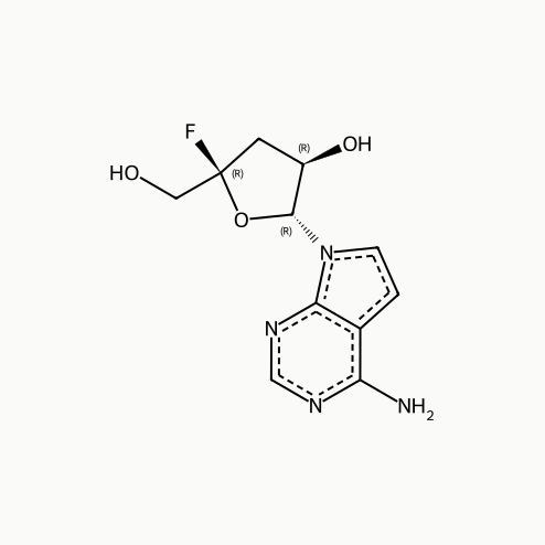 Nc1ncnc2c1ccn2[C@@H]1O[C@](F)(CO)C[C@H]1O